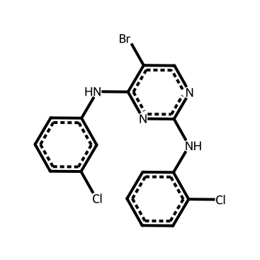 Clc1cccc(Nc2nc(Nc3ccccc3Cl)ncc2Br)c1